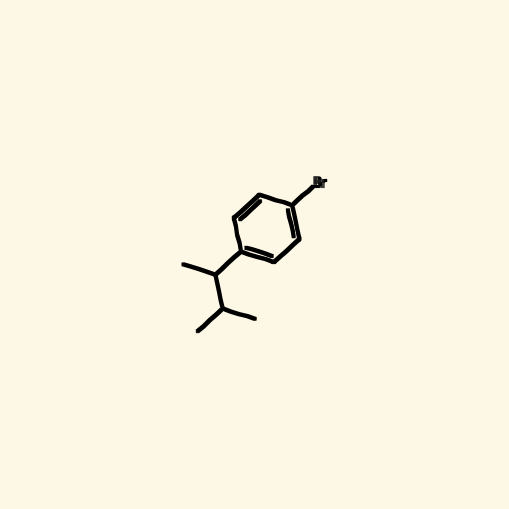 CC(C)C(C)c1ccc(Br)cc1